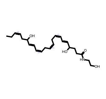 CC/C=C\CC(O)C=C/C=C\C/C=C\C/C=C\C=CC(O)CCC(=O)NCCO